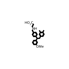 COc1cccc(C(Cc2ccc(C)c(C)c2)c2ccc(CNCCC(=O)O)cc2)c1